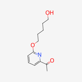 CC(=O)c1cccc(OCCCCCO)n1